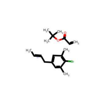 C/C=C/Cc1cc(C)c(Br)c(C)c1.C=CC(=O)OC(C)(C)C